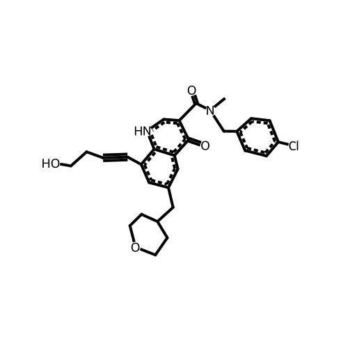 CN(Cc1ccc(Cl)cc1)C(=O)c1c[nH]c2c(C#CCCO)cc(CC3CCOCC3)cc2c1=O